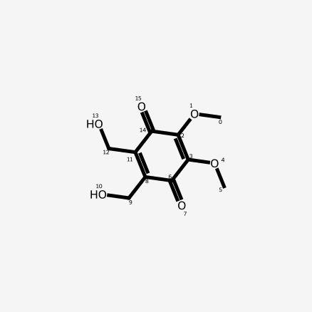 COC1=C(OC)C(=O)C(CO)=C(CO)C1=O